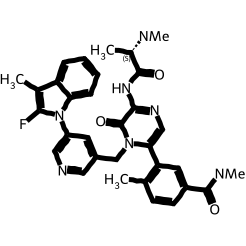 CNC(=O)c1ccc(C)c(-c2cnc(NC(=O)[C@H](C)NC)c(=O)n2Cc2cncc(-n3c(F)c(C)c4ccccc43)c2)c1